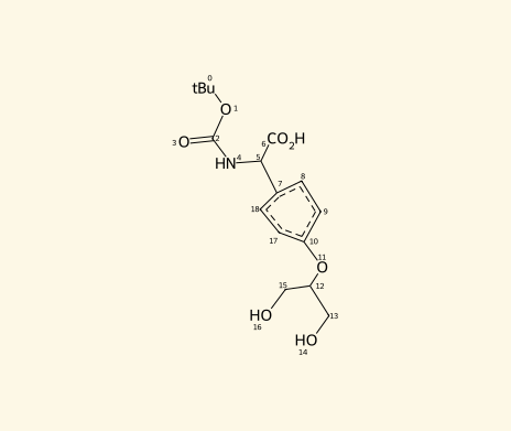 CC(C)(C)OC(=O)NC(C(=O)O)c1ccc(OC(CO)CO)cc1